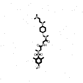 COc1cc(C)c(S(=O)(=O)N(C)CC(=O)NCC(=O)N(C)C[C@H]2CC[C@H](N(C)CCN(C)C)CC2)c(C)c1